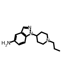 CCCN1CCC(n2ncc3cc(N)ccc32)CC1